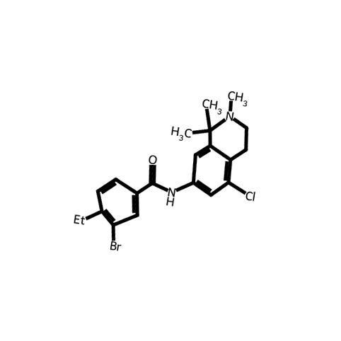 CCc1ccc(C(=O)Nc2cc(Cl)c3c(c2)C(C)(C)N(C)CC3)cc1Br